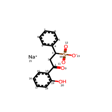 O=C(CC(c1ccccc1)S(=O)(=O)[O-])c1ccccc1O.[Na+]